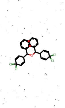 ClC1(Cl)C=CC(C(OC(c2ccccc2)C2C=CC(Cl)(Cl)C=C2)c2ccccc2)C=C1